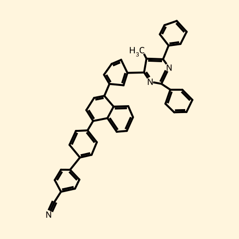 Cc1c(-c2ccccc2)nc(-c2ccccc2)nc1-c1cccc(-c2ccc(-c3ccc(-c4ccc(C#N)cc4)cc3)c3ccccc23)c1